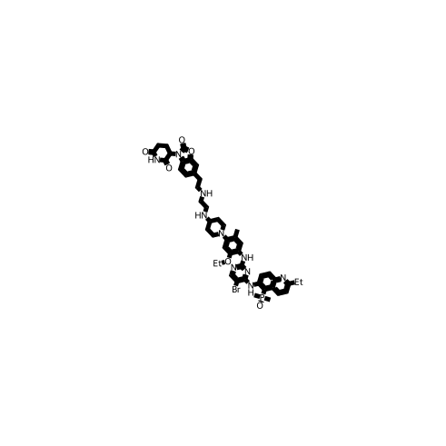 CCOc1cc(N2CCC(NCCNCCc3ccc4c(c3)oc(=O)n4C3CCC(=O)NC3=O)CC2)c(C)cc1Nc1ncc(Br)c(Nc2ccc3nc(CC)ccc3c2P(C)(C)=O)n1